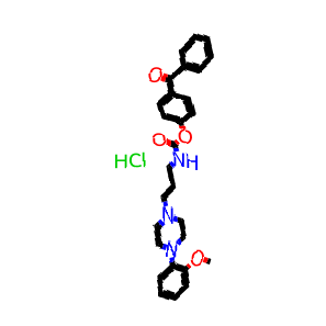 COc1ccccc1N1CCN(CCCNC(=O)Oc2ccc(C(=O)c3ccccc3)cc2)CC1.Cl